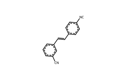 [C-]#[N+]c1ccc(C=Cc2cccc(C#N)c2)cc1